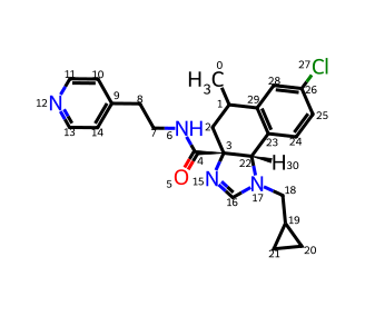 CC1C[C@@]2(C(=O)NCCc3ccncc3)N=CN(CC3CC3)[C@H]2c2ccc(Cl)cc21